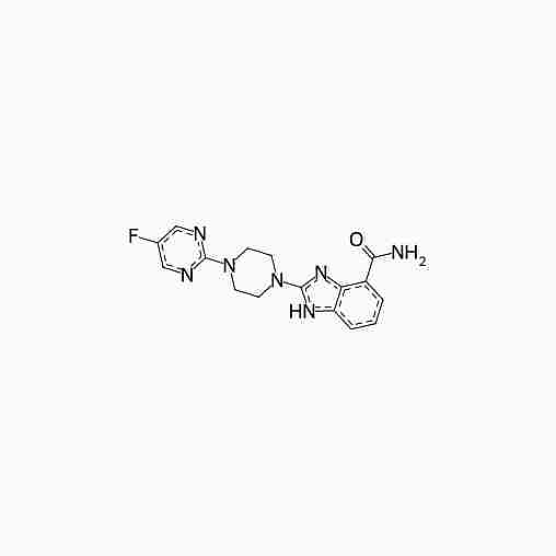 NC(=O)c1cccc2[nH]c(N3CCN(c4ncc(F)cn4)CC3)nc12